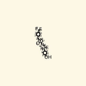 O=C1[C@H](N2CCN(c3ccc(O)cc3)[C@H](F)C2)CCN1Cc1ccc(C(F)F)cc1